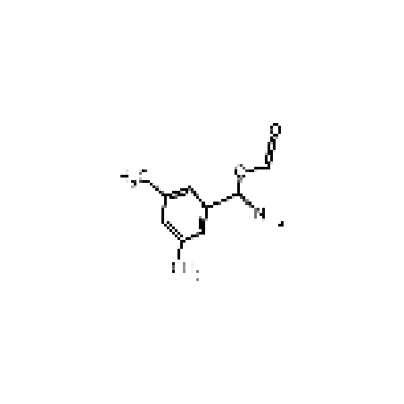 Cc1cc(C)cc(C(N)OC=O)c1